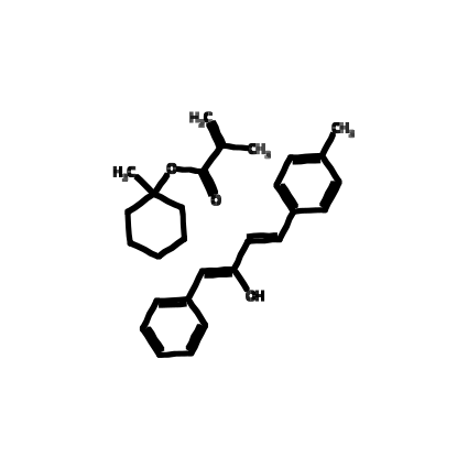 C=C(C)C(=O)OC1(C)CCCCC1.Cc1ccc(C=CC(O)=Cc2ccccc2)cc1